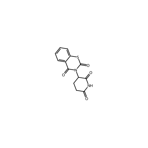 O=C1CCC(n2c(=O)sc3ccccc3c2=O)C(=O)N1